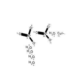 O.O.O.O.O.O=[N+]([O-])[O-].O=[N+]([O-])[O-].[Cu+2]